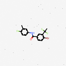 Cc1cc(NC(=O)c2ccc(Br)c(C(C)(F)F)c2)ccc1F